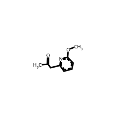 COc1cccc(CC(C)=O)n1